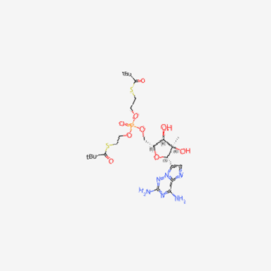 CC(C)(C)C(=O)SCCOP(=O)(OCCSC(=O)C(C)(C)C)OC[C@H]1O[C@@H](c2cnc3c(N)nc(N)nn23)[C@](C)(O)[C@@H]1O